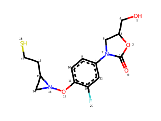 O=C1OC(CO)CN1c1ccc(ON2CC2CCS)c(F)c1